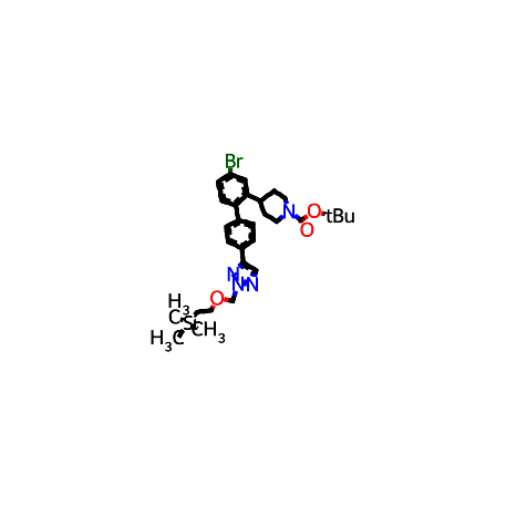 CC(C)(C)OC(=O)N1CCC(c2cc(Br)ccc2-c2ccc(-c3cnn(COCC[Si](C)(C)C)n3)cc2)CC1